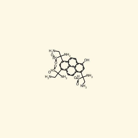 NCC(N)(c1cc(O)c2ccc3c(C(N)(CN)[SH](=O)=O)cc(C(N)(CN)[SH](=O)=O)c4ccc1c2c34)[SH](=O)=O